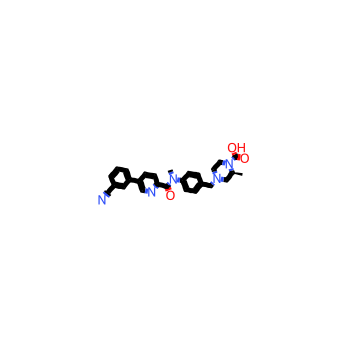 C[C@H]1CN(Cc2ccc(N(C)C(=O)c3ccc(-c4cccc(C#N)c4)cn3)cc2)CCN1C(=O)O